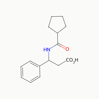 O=C(O)CC(NC(=O)C1CCCC1)c1ccccc1